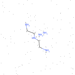 N.N.NCCNCCN